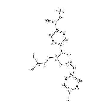 COC(=O)c1ccc(N2C[C@@H](Oc3ccc(I)cn3)C[C@H]2COC(F)F)cc1